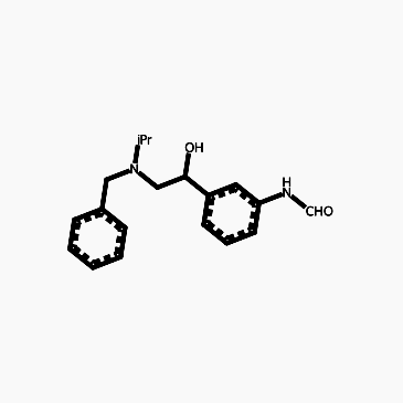 CC(C)N(Cc1ccccc1)CC(O)c1cccc(NC=O)c1